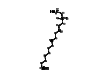 CCCCCCCCCCCCCCCCOCCOCC[N+](C)(C)CC(=O)O